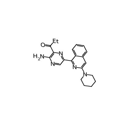 CCC(=O)c1nc(-c2nc(N3CCCCC3)cc3ccccc23)cnc1N